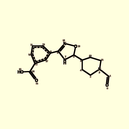 O=CN1CCC(C2NC(c3cccc(C(=O)O)c3)=NO2)CC1